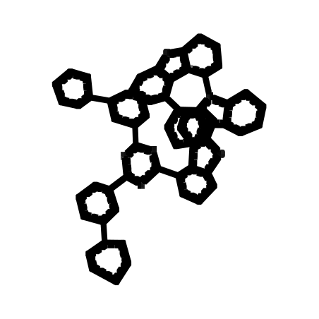 c1ccc(-c2cccc(-c3nc(-c4cccc(-c5ccccc5)c4)nc(-c4cccc5oc6ccc(-c7cccc8oc9cccc(-n%10c%11ccccc%11c%11ccccc%11%10)c9c78)cc6c45)n3)c2)cc1